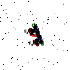 O=S(=O)(N1CCC(n2c(-c3ccc(Cl)cc3)nc3ccc(C(O)c4ccc5nc(-c6ccc(Cl)cc6)n(C6CCN(S(=O)(=O)C(F)(F)F)C(C7COC7)C6)c5c4)cc32)CC1C1COC1)C(F)(F)F